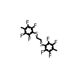 Cc1c(F)c(F)c(SCCSc2c(F)c(F)c(C)c(F)c2F)c(F)c1F